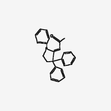 CC(=O)/C=C1\P(c2ccccc2)CCC1(c1ccccc1)c1ccccc1